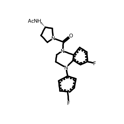 CC(=O)N[C@H]1CCN(C(=O)N2CCN(c3ccc(F)cc3)c3cc(F)ccc32)C1